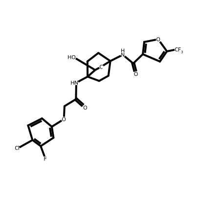 O=C(COc1ccc(Cl)c(F)c1)NC12CCC(NC(=O)c3coc(C(F)(F)F)c3)(CC1)CC2O